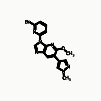 COc1nc2c(cc1-c1cnn(C)c1)ncn2-c1cccc(Br)n1